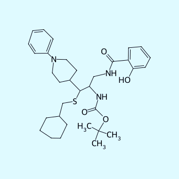 CC(C)(C)OC(=O)NC(CNC(=O)c1ccccc1O)C(SCC1CCCCC1)C1CCN(c2ccccc2)CC1